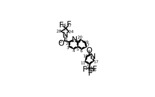 O=C(c1ccc2cc(Oc3ccc(C(F)(F)F)cn3)ccc2n1)N1CC(F)(F)C1